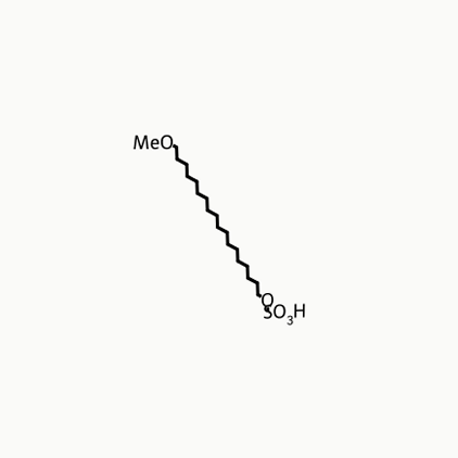 COCCCCCCCCCCCCCCCCCCOS(=O)(=O)O